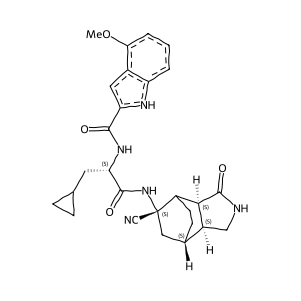 COc1cccc2[nH]c(C(=O)N[C@@H](CC3CC3)C(=O)N[C@@]3(C#N)C[C@@H]4CCC3[C@H]3C(=O)NC[C@@H]43)cc12